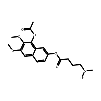 COc1cc2ccc(OC(=O)CCC[S+](C)[O-])cc2c(OC(C)=O)c1OC